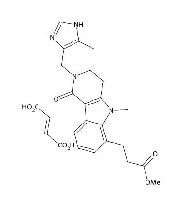 COC(=O)CCc1cccc2c3c(n(C)c12)CCN(Cc1nc[nH]c1C)C3=O.O=C(O)C=CC(=O)O